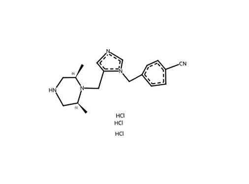 C[C@@H]1CNC[C@H](C)N1Cc1cncn1Cc1ccc(C#N)cc1.Cl.Cl.Cl